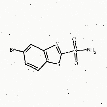 NS(=O)(=O)c1nc2cc(Br)ccc2s1